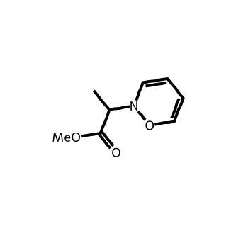 COC(=O)C(C)N1C=CC=CO1